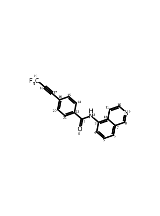 O=C(Nc1cccc2cnccc12)c1ccc(C#CC(F)(F)F)cc1